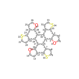 c1cc2c(o1)c1c3c4ccsc4c4ccoc4c3c3c4ccsc4c4ccoc4c3c1c1ccsc21